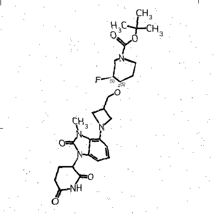 Cn1c(=O)n(C2CCC(=O)NC2=O)c2cccc(N3CC(CO[C@H]4CCN(C(=O)OC(C)(C)C)C[C@@H]4F)C3)c21